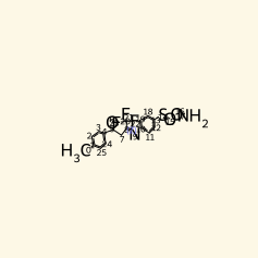 Cc1ccc(C(=O)C/C(=N/c2ccc(SOON)cc2)C(F)(F)F)cc1